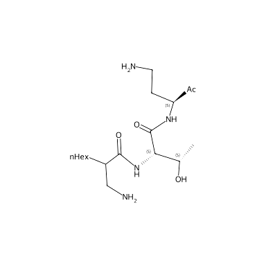 CCCCCCC(CN)C(=O)N[C@H](C(=O)N[C@@H](CCN)C(C)=O)[C@H](C)O